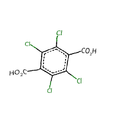 O=C(O)c1c(Cl)c(Cl)c(C(=O)O)c(Cl)c1Cl